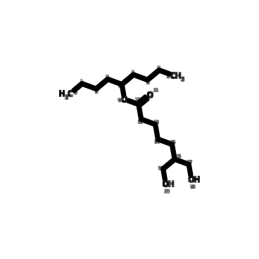 CCCCC(CCCC)OC(=O)CCCCC(CO)CO